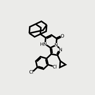 O=c1cc(C23CC4CC(CC(C4)C2)C3)[nH]c2c(-c3ccc(Cl)cc3Cl)c(C3CC3)nn12